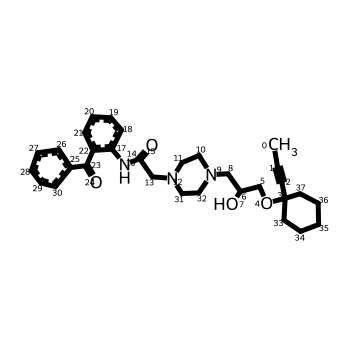 CC#CC1(OCC(O)CN2CCN(CC(=O)Nc3ccccc3C(=O)c3ccccc3)CC2)CCCCC1